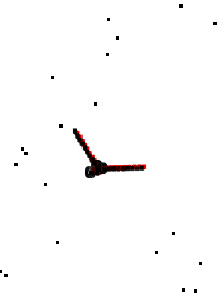 CCCCCCCC/C=C/CCCCCCCCOc1ccc(C=O)cc1OCCCCCCCC/C=C/CCCCCCCC